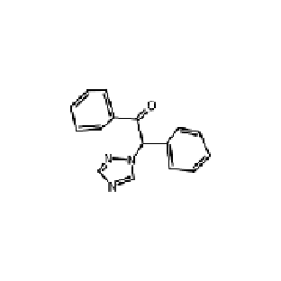 O=C(c1ccccc1)C(c1ccccc1)n1cncn1